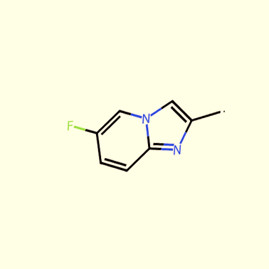 [CH2]c1cn2cc(F)ccc2n1